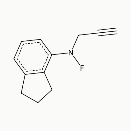 C#CCN(F)c1cccc2c1CCC2